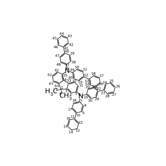 CC1(C)c2cc(N(c3ccc(C4=CCCC=C4)cc3)c3ccc(-c4ccccc4)cc3)ccc2-c2c(N(c3ccc(-c4ccccc4)cc3)c3ccc(-c4ccccc4)cc3)cccc21